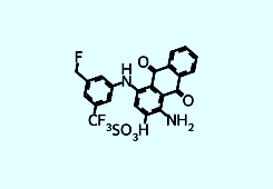 Nc1c(S(=O)(=O)O)cc(Nc2cc(CF)cc(C(F)(F)F)c2)c2c1C(=O)c1ccccc1C2=O